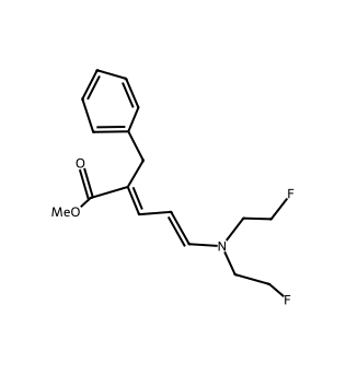 COC(=O)/C(=C/C=C/N(CCF)CCF)Cc1ccccc1